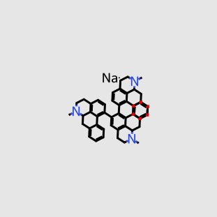 CN1CCc2ccc(-c3cc4c5c(c3-c3ccc6c7c3-c3ccccc3CC7N(C)CC6)-c3ccccc3CC5N(C)CC4)c3c2C1Cc1ccccc1-3.[Na]